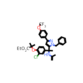 C=C(C)NC(C)(c1ccc(OC(C)(C)C(=O)OCC)c(Cl)c1)c1cc(-c2ccc(OC(F)(F)F)cc2)nn1Cc1ccccc1